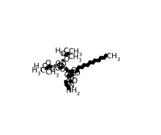 CCCCCCCCCCCCC(=O)O[C@@H]1C(COP(=O)(OCOC(=O)C(C)(C)C)OCOC(=O)C(C)(C)C)O[C@@H](n2ccc(N)nc2=O)C1(F)F